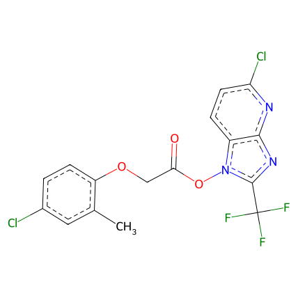 Cc1cc(Cl)ccc1OCC(=O)On1c(C(F)(F)F)nc2nc(Cl)ccc21